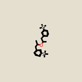 CC(Cc1cccc([Si](C)(C)C)c1)OC(C)Cc1cccc([Si](C)(C)C)c1